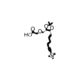 CC1(C)O[C@@H](COCC(=O)O)[C@@H](C=CC=CC#C[Si](C)(C)C)O1